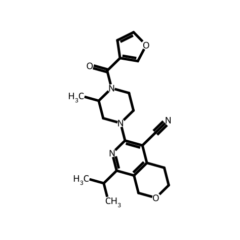 CC(C)c1nc(N2CCN(C(=O)c3ccoc3)C(C)C2)c(C#N)c2c1COCC2